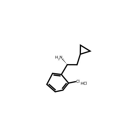 Cl.N[C@H](CC1CC1)c1ccccc1Cl